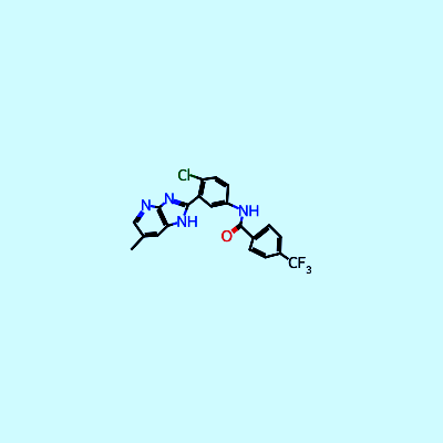 Cc1cnc2nc(-c3cc(NC(=O)c4ccc(C(F)(F)F)cc4)ccc3Cl)[nH]c2c1